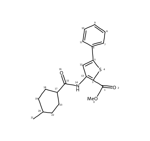 COC(=O)c1sc(-c2ccccc2)cc1NC(=O)C1CCC(C)CC1